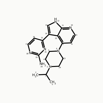 CC(C)N1CCN(c2ccnc3[nH]cc(-c4ccnc(N)n4)c23)CC1